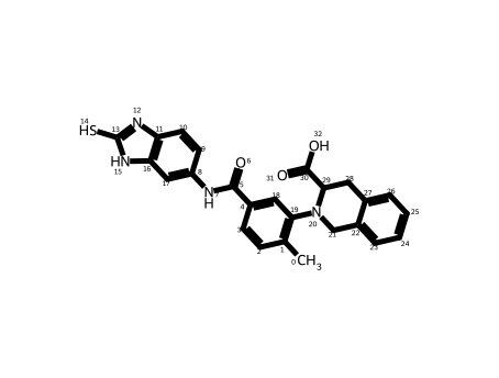 Cc1ccc(C(=O)Nc2ccc3nc(S)[nH]c3c2)cc1N1Cc2ccccc2CC1C(=O)O